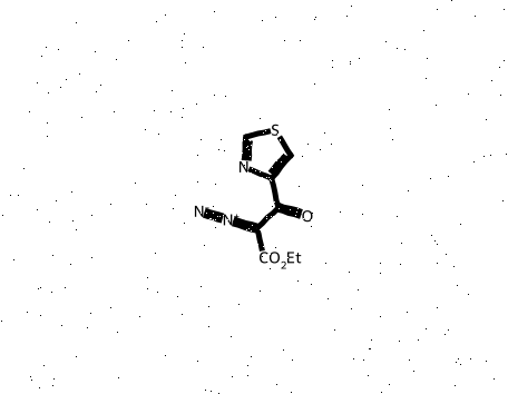 CCOC(=O)C(=[N+]=[N-])C(=O)c1cscn1